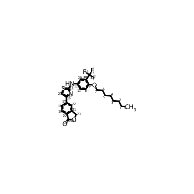 CCCCCCCCOc1ccc(Nc2nc(-c3ccc4c(c3)COC4=O)cs2)cc1C(F)(F)F